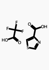 O=C(O)C(F)(F)F.O=C(O)c1cscn1